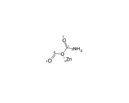 NC(=O)OC=O.[Zn]